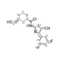 N#Cc1sc(NC(=O)[C@@H]2CCC[C@H](C(=O)O)C2)nc1-c1cc(F)cc(F)c1